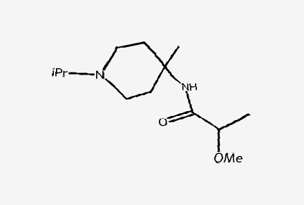 COC(C)C(=O)NC1(C)CCN(C(C)C)CC1